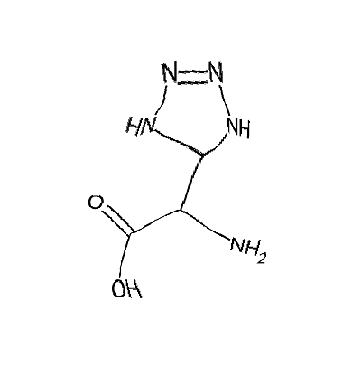 NC(C(=O)O)C1NN=NN1